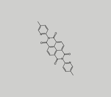 Cc1ccc(N2C(=O)c3ccc4c5c(ccc(c35)C2=O)C(=O)N(c2ccc(C)cn2)C4=O)nc1